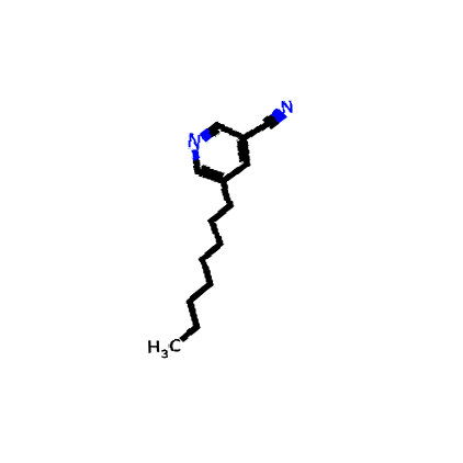 CCCCCCCCc1cncc(C#N)c1